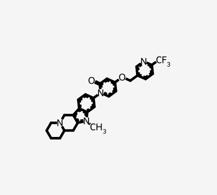 Cn1c2c(c3ccc(-n4ccc(OCc5ccc(C(F)(F)F)nc5)cc4=O)cc31)CN1CCCCC1C2